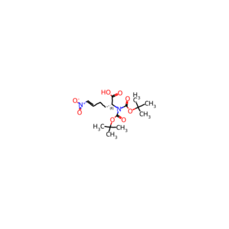 CC(C)(C)OC(=O)N(C(=O)OC(C)(C)C)[C@H](CCC=C[N+](=O)[O-])C(=O)O